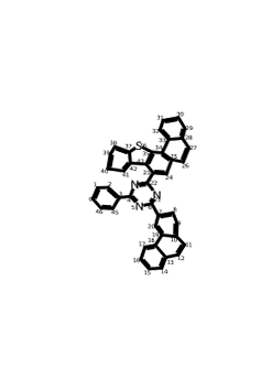 c1ccc(-c2nc(-c3ccc4ccc5ccccc5c4c3)nc(-c3cc4ccc5ccccc5c4c4sc5ccccc5c34)n2)cc1